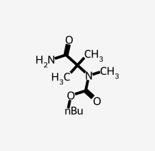 CCCCOC(=O)N(C)C(C)(C)C(N)=O